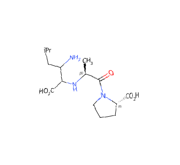 CC(C)CC(N)C(N[C@@H](C)C(=O)N1CCC[C@H]1C(=O)O)C(=O)O